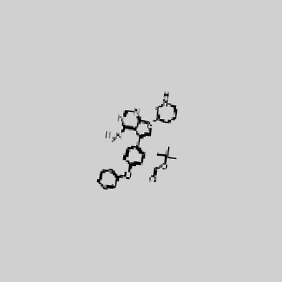 CC(C)(C)OC=O.Nc1ncnc2c1c(-c1ccc(Oc3ccccc3)cc1)cn2[C@@H]1CCCNC1